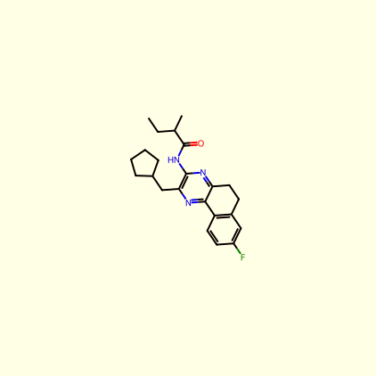 CCC(C)C(=O)Nc1nc2c(nc1CC1CCCC1)-c1ccc(F)cc1CC2